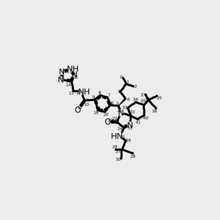 CC(C)CC[C@H](c1ccc(C(=O)NCc2nn[nH]n2)cc1)N1C(=O)C(NCC(C)(C)C)=NC12CCC(C(C)(C)C)CC2